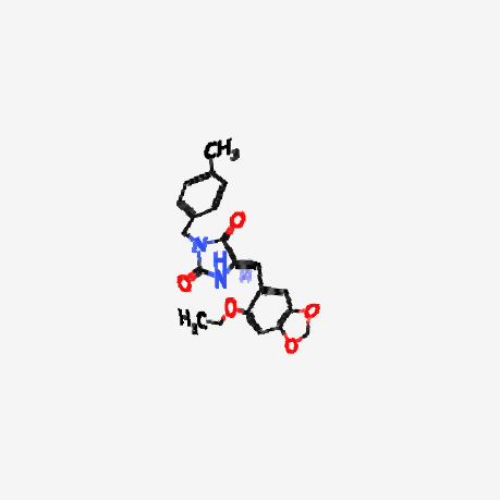 CCOc1cc2c(cc1/C=C1\NC(=O)N(Cc3ccc(C)cc3)C1=O)OCO2